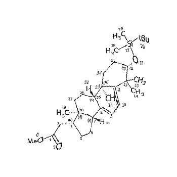 COC(=O)C[C@H]1CC[C@H]2C3=CC=C4C(C)(C)[C@@H](O[Si](C)(C)C(C)(C)C)CC[C@]4(C)[C@H]3CC[C@]12C